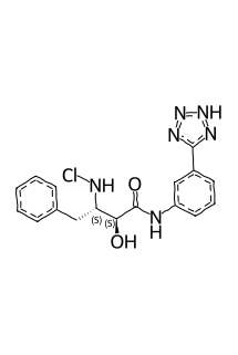 O=C(Nc1cccc(-c2nn[nH]n2)c1)[C@@H](O)[C@H](Cc1ccccc1)NCl